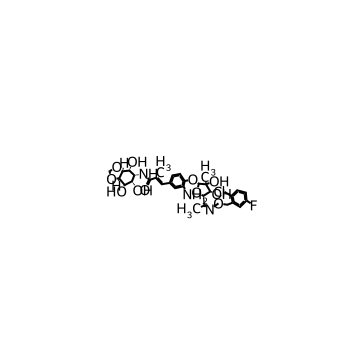 C/C(=N/OCc1cc(F)ccc1Cl)[C@H]1O[C@@H](Oc2ccc(/C=C(\C)C(=O)N[C@@H]3[C@H](O)[C@@H](O)[C@H]4OCO[C@H]4[C@@H]3O)cc2N)[C@](C)(O)[C@@H]1O